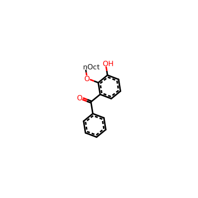 CCCCCCCCOc1c(O)cccc1C(=O)c1ccccc1